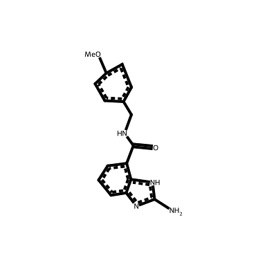 COc1ccc(CNC(=O)c2cccc3nc(N)[nH]c23)cc1